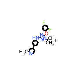 Cc1cc(-c2ccc(Nc3nc(Oc4ccc(F)cc4F)n(C(C)C)n3)cc2)ccn1